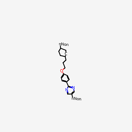 CCCCCCCCCc1cnc(-c2ccc(OCCCC3CCC(CCCCCCCCC)CC3)cc2)nc1